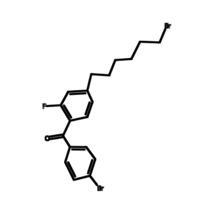 O=C(c1ccc(Br)cc1)c1ccc(CCCCCCBr)cc1F